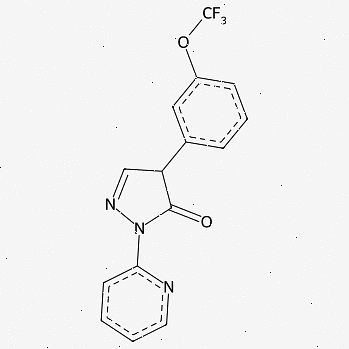 O=C1C(c2cccc(OC(F)(F)F)c2)C=NN1c1ccccn1